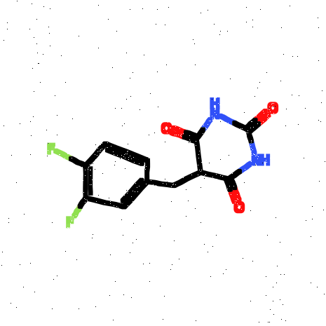 O=C1NC(=O)C(Cc2ccc(F)c(F)c2)C(=O)N1